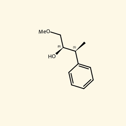 COC[C@H](O)[C@@H](C)c1ccccc1